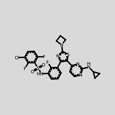 O=S(=O)(Nc1cccc(-c2nc(N3CCC3)sc2-c2ccnc(NC3CC3)n2)c1F)c1c(F)ccc(Cl)c1F